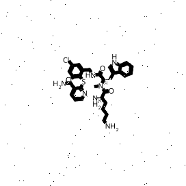 CN(C(=O)[C@@H](N)CCCCN)[C@@H](Cc1c[nH]c2ccccc12)C(=O)NCc1cc(Cl)cc(Cl)c1Sc1ncccc1CN